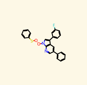 Fc1cccc(-c2cn(OOSc3ccccc3)c3ncc(-c4ccccc4)cc23)c1